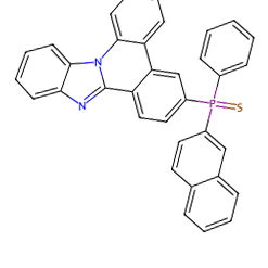 S=P(c1ccccc1)(c1ccc2ccccc2c1)c1ccc2c(c1)c1ccccc1n1c3ccccc3nc21